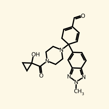 Cn1nc2ccc(C3(N4CCN(C(=O)C5(O)CC5)CC4)C=CC(C=O)=CC3)cc2n1